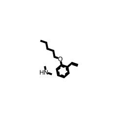 C=Cc1ccccc1OCCCCC.CNC